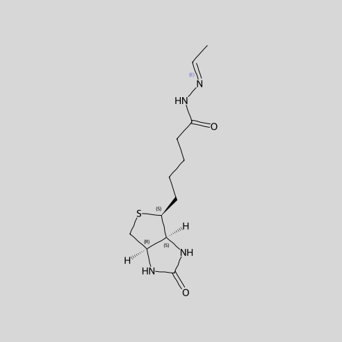 C/C=N/NC(=O)CCCC[C@@H]1SC[C@@H]2NC(=O)N[C@@H]21